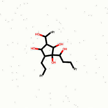 CCCC(O)C1C(O)C(CCC(C)C)C(O)(C(O)CCC(C)C)C1O